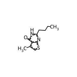 CCCCc1nc2scc(C)c2c(=O)[nH]1